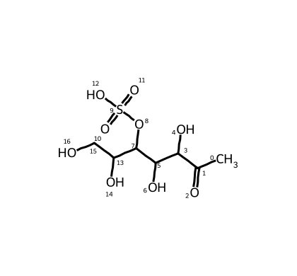 CC(=O)C(O)C(O)C(OS(=O)(=O)O)C(O)CO